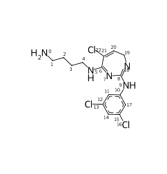 NCCCCNC1=NC(Nc2cc(Cl)cc(Cl)c2)=NCC=C1Cl